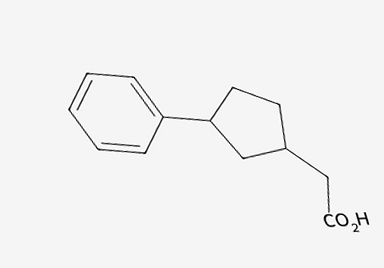 O=C(O)CC1CCC(c2ccccc2)C1